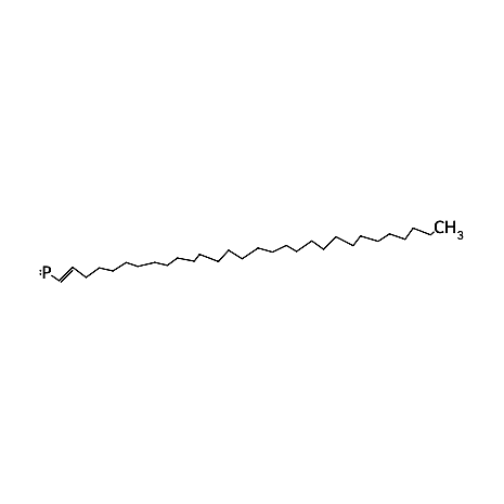 CCCCCCCCCCCCCCCCCCCCCCCCCCCCC=C[P]